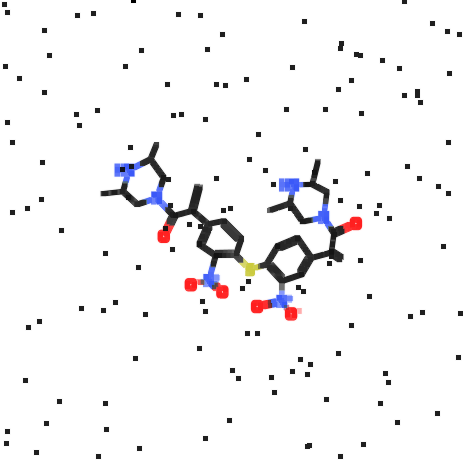 C=C(C(=O)N1CC(C)NC(C)C1)c1ccc(Sc2ccc(C(=C)C(=O)N3CC(C)NC(C)C3)cc2[N+](=O)[O-])c([N+](=O)[O-])c1